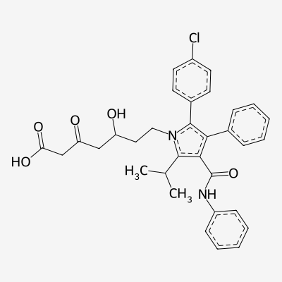 CC(C)c1c(C(=O)Nc2ccccc2)c(-c2ccccc2)c(-c2ccc(Cl)cc2)n1CCC(O)CC(=O)CC(=O)O